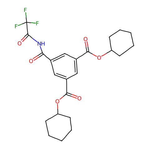 O=C(NC(=O)C(F)(F)F)c1cc(C(=O)OC2CCCCC2)cc(C(=O)OC2CCCCC2)c1